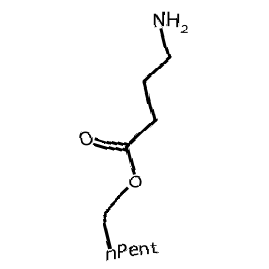 CCCCCCOC(=O)CCCN